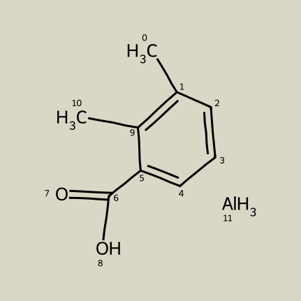 Cc1cccc(C(=O)O)c1C.[AlH3]